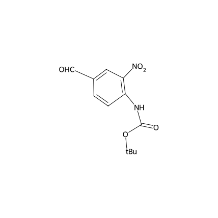 CC(C)(C)OC(=O)Nc1ccc(C=O)cc1[N+](=O)[O-]